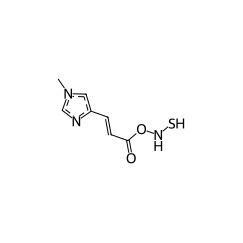 Cn1cnc(/C=C/C(=O)ONS)c1